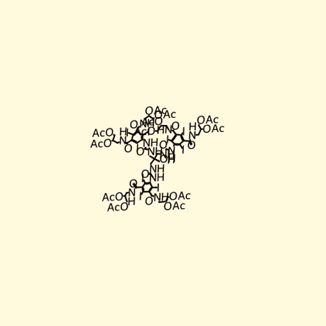 CC(=O)OCC(CNC(=O)c1c(I)c(NC(=O)NCC(CO)(CNC(=O)Nc2c(I)c(C(=O)NCC(COC(C)=O)OC(C)=O)c(I)c(C(=O)NCC(COC(C)=O)OC(C)=O)c2I)CNC(=O)Nc2c(I)c(C(=O)NCC(COC(C)=O)OC(C)=O)c(I)c(C(=O)NCC(COC(C)=O)OC(C)=O)c2I)c(I)c(C(=O)NCC(COC(C)=O)OC(C)=O)c1I)OC(C)=O